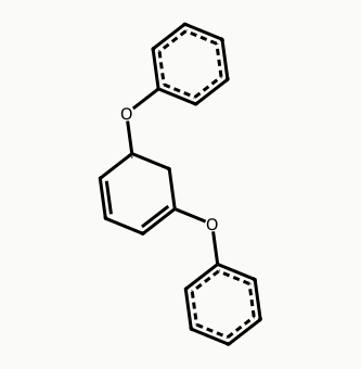 C1=C[C](Oc2ccccc2)CC(Oc2ccccc2)=C1